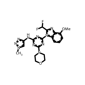 COc1cccc2c1nc(C(F)F)n2-c1nc(Nc2cn(C)nn2)nc(N2CCOCC2)n1